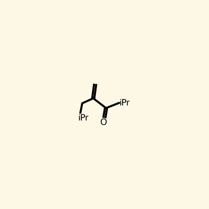 C=C(CC(C)C)C(=O)C(C)C